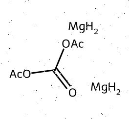 CC(=O)OC(=O)OC(C)=O.[MgH2].[MgH2]